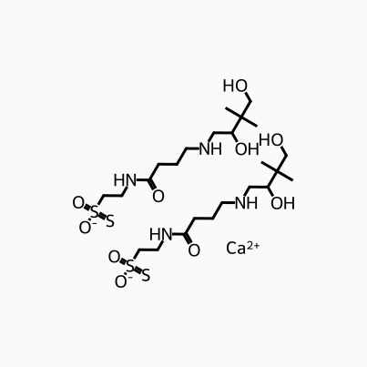 CC(C)(CO)C(O)CNCCCC(=O)NCCS(=O)([O-])=S.CC(C)(CO)C(O)CNCCCC(=O)NCCS(=O)([O-])=S.[Ca+2]